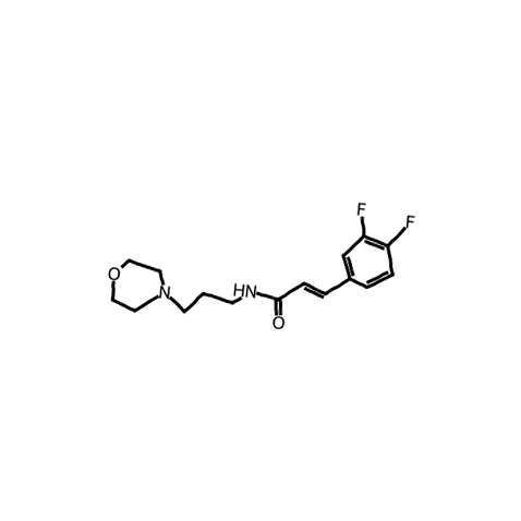 O=C(C=Cc1ccc(F)c(F)c1)NCCCN1CCOCC1